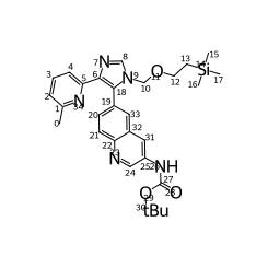 Cc1cccc(-c2ncn(COCC[Si](C)(C)C)c2-c2ccc3ncc(NC(=O)OC(C)(C)C)cc3c2)n1